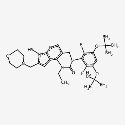 BC(B)(B)Oc1cc(OC(B)(B)B)c(F)c(N2Cc3cnc4c(cc(CN5CCOCC5)n4S)c3N(CC)C2=O)c1F